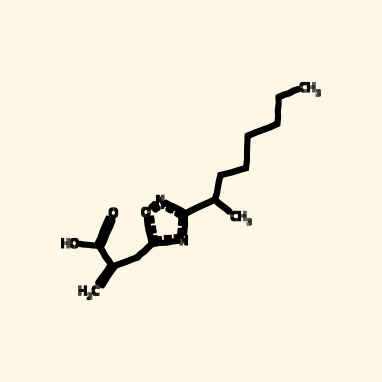 C=C(Cc1nc(C(C)CCCCCC)no1)C(=O)O